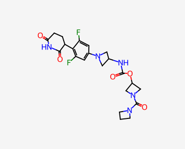 O=C1CCC(c2c(F)cc(N3CC(NC(=O)OC4CN(C(=O)N5CCC5)C4)C3)cc2F)C(=O)N1